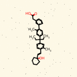 CCC(CC)(c1ccc(C=CC2(O)CCCCC2)c(C)c1)c1ccc(-c2cccc(CC(=O)O)c2)c(C)c1